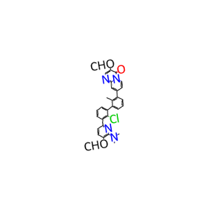 Cc1c(-c2ccn3c(=O)c(C=O)cnc3c2)cccc1-c1cccc(-c2ccc(C=O)c(N(C)C)n2)c1Cl